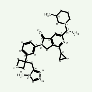 C[C@H]1CCCN([C@H](C)c2cc3c(c(C4CC4)n2)CN(c2cccc(C4(Cc5nncn5C)COC4)c2)C3=O)C1